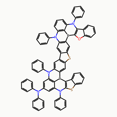 c1ccc(N(c2ccccc2)c2cc3c4c(c2)N(c2ccccc2)c2sc5ccccc5c2B4c2cc4sc5cc6c(cc5c4cc2N3c2ccccc2)N(c2ccccc2)c2cccc3c2B6c2oc4ccccc4c2N3c2ccccc2)cc1